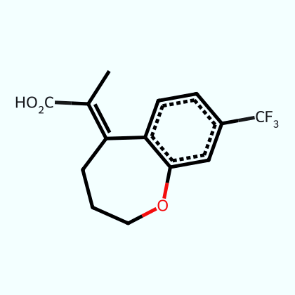 CC(C(=O)O)=C1CCCOc2cc(C(F)(F)F)ccc21